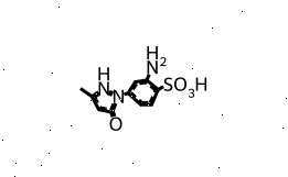 Cc1cc(=O)n(-c2ccc(S(=O)(=O)O)c(N)c2)[nH]1